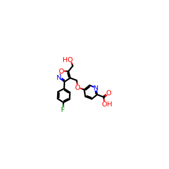 O=C(O)c1ccc(OCc2c(-c3ccc(F)cc3)noc2CO)cn1